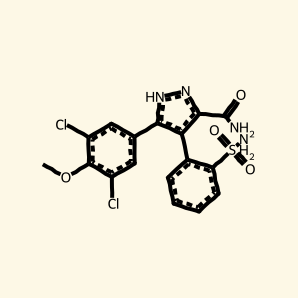 COc1c(Cl)cc(-c2[nH]nc(C(N)=O)c2-c2ccccc2S(N)(=O)=O)cc1Cl